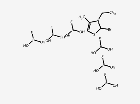 CCN1C(C)=CSC1Br.OB(O)F.OB(O)F.OB(O)F.OB(O)F.OB(O)F.OB(O)F